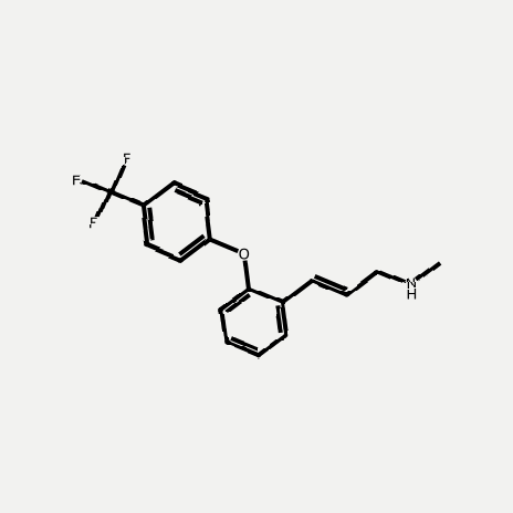 CNCC=Cc1ccccc1Oc1ccc(C(F)(F)F)cc1